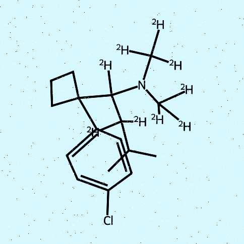 [2H]C([2H])([2H])N(C([2H])([2H])[2H])C([2H])(C1(c2ccc(Cl)cc2)CCC1)C([2H])([2H])C(C)C